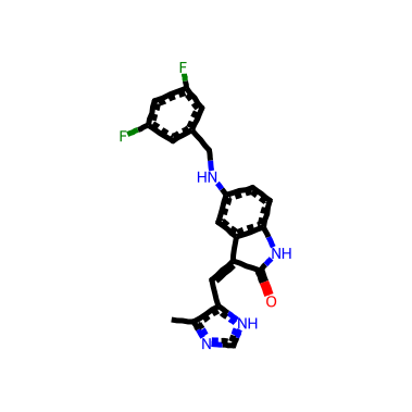 Cc1nc[nH]c1C=C1C(=O)Nc2ccc(NCc3cc(F)cc(F)c3)cc21